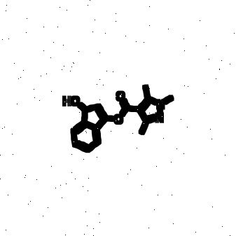 Cc1nn(C)c(C)c1C(=O)OC1=CC(O)c2ccccc21